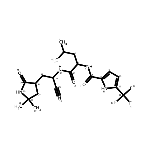 CC(C)CC(NC(=O)c1ccc(C(F)(F)F)[nH]1)C(=O)NC(C#N)CC1CC(C)(C)NC1=O